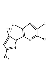 O=C(O)c1cc(C(F)(F)F)nn1-c1nc(Cl)c(Cl)cc1Cl